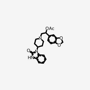 CC(=O)OC(CN1CCC(n2c(=O)[nH]c3ccccc32)CC1)c1ccc2c(c1)OCO2